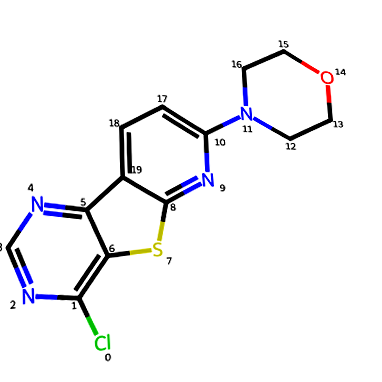 Clc1ncnc2c1sc1nc(N3CCOCC3)ccc12